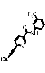 CC(C)(C)C#Cc1ccc(C(=O)Nc2cccc(C(F)(F)F)c2)cn1